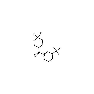 CC(C)(C)C1CCCN(C(=O)C2CCC(F)(F)CC2)C1